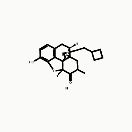 CC1CC2(O)[C@H]3Cc4ccc(O)c5c4[C@@]2(CCN3CC2CCC2)[C@@H](O5)C1=O.I